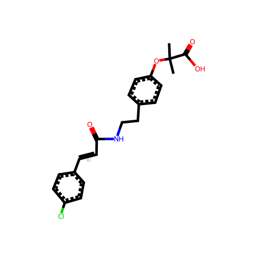 CC(C)(Oc1ccc(CCNC(=O)/C=C/c2ccc(Cl)cc2)cc1)C(=O)O